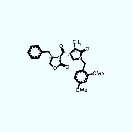 COc1ccc(CN2C[C@H](C(=O)N3C(=O)OC[C@H]3Cc3ccccc3)[C@@H](C)C2=O)c(OC)c1